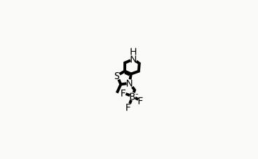 CC1SC2=C(CCNC2)N1C[B-](F)(F)F